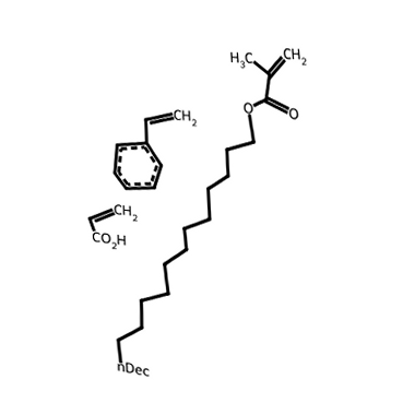 C=C(C)C(=O)OCCCCCCCCCCCCCCCCCCCCCC.C=CC(=O)O.C=Cc1ccccc1